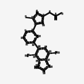 CNCc1nc(C)c(-c2cccc(-c3cc(F)c4nn[nH]c4c3F)n2)s1